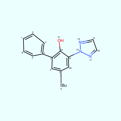 CC(C)(C)c1cc(-c2ccccc2)c(O)c(-n2nccn2)c1